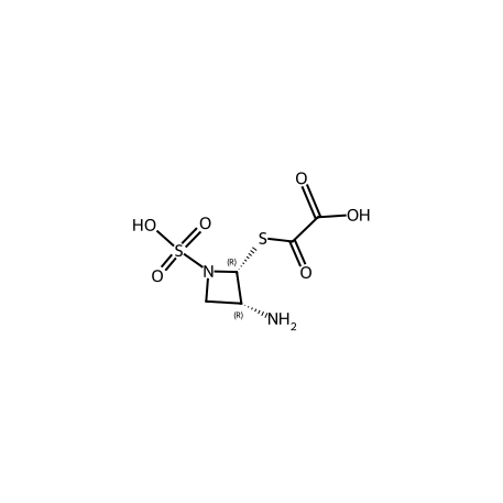 N[C@@H]1CN(S(=O)(=O)O)[C@@H]1SC(=O)C(=O)O